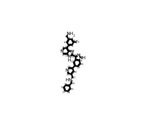 NCc1cc(F)cc(-c2cncc3[nH]c(-c4n[nH]c5ccc(-c6cncc(CNCc7ccccc7)c6)cc45)nc23)c1